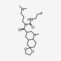 CN(C)CCCN(C(=O)NCCF)C(=O)C1CC2CC3(CCC2N(C)C1)OCCO3